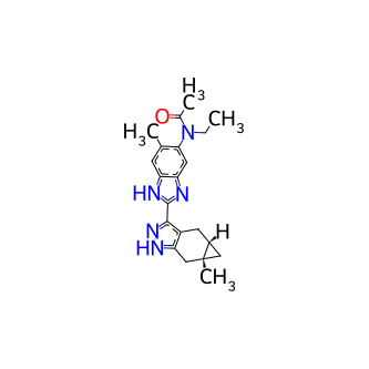 CCN(C(C)=O)c1cc2nc(-c3n[nH]c4c3C[C@@H]3C[C@]3(C)C4)[nH]c2cc1C